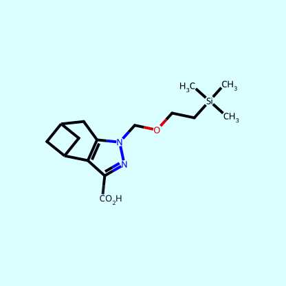 C[Si](C)(C)CCOCn1nc(C(=O)O)c2c1CC1CC2C1